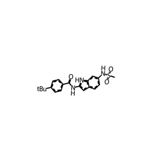 CC(C)(C)c1ccc(C(=O)Nc2cc3ccc(NS(C)(=O)=O)cc3[nH]2)cc1